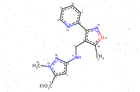 CCOC(=O)c1cc(NCc2c(-c3ccccn3)noc2C)nn1C